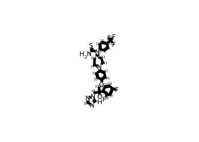 NC(=S)N(c1ccc(C(F)(F)F)cc1)N1CCN(c2ccc(OCC(O)(Cn3cncn3)c3ccc(F)cc3F)cc2)CC1